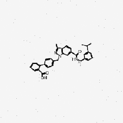 Cc1nn(Cc2ccc(-c3ccccc3C(=O)O)cc2)c2cc(C(=O)N[C@@H](C)c3cccc(C(C)C)c3)ccc12